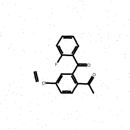 C=C.CC(=O)c1ccc(Cl)cc1C(=O)c1ccccc1F